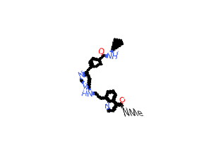 CNC(=O)c1ccnc2c(CCNc3cc(-c4ccc(C(=O)NC5CC5)cc4)ncn3)cccc12